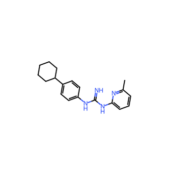 Cc1cccc(NC(=N)Nc2ccc(C3CCCCC3)cc2)n1